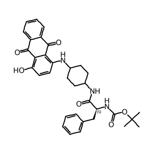 CC(C)(C)OC(=O)N[C@@H](Cc1ccccc1)C(=O)NC1CCC(Nc2ccc(O)c3c2C(=O)c2ccccc2C3=O)CC1